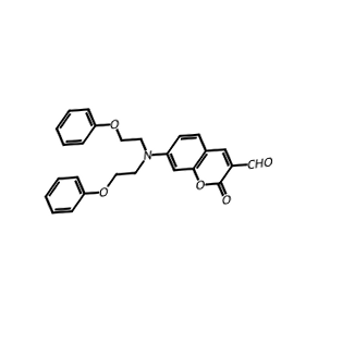 O=Cc1cc2ccc(N(CCOc3ccccc3)CCOc3ccccc3)cc2oc1=O